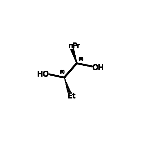 CCC[C@@H](O)[C@@H](O)CC